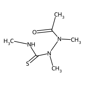 CNC(=S)N(C)N(C)C(C)=O